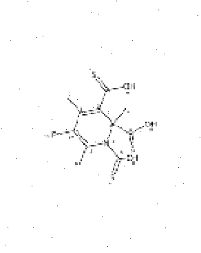 CC1=C(C(O)=S)C(C)(C(O)=S)N(C(O)=S)C(C)=C1F